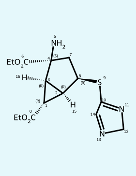 CCOC(=O)[C@H]1[C@H]2[C@@H]1[C@](N)(C(=O)OCC)C[C@H]2SC1=NCN=C1